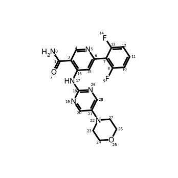 NC(=O)c1cnc(-c2c(F)cccc2F)cc1Nc1ncc(N2CCOCC2)cn1